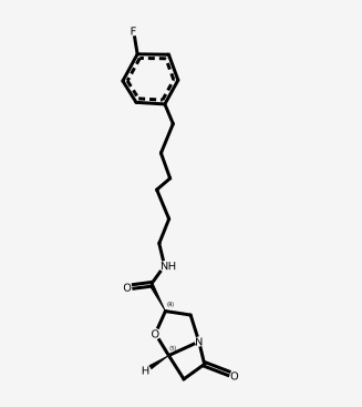 O=C(NCCCCCCc1ccc(F)cc1)[C@H]1CN2C(=O)C[C@@H]2O1